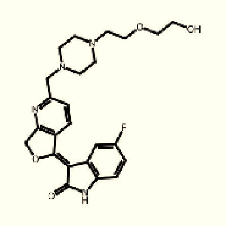 O=C1Nc2ccc(F)cc2/C1=C1/OCc2nc(CN3CCN(CCOCCO)CC3)ccc21